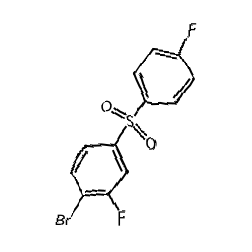 O=S(=O)(c1ccc(F)cc1)c1ccc(Br)c(F)c1